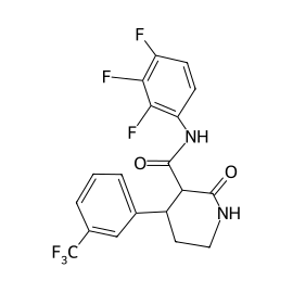 O=C1NCCC(c2cccc(C(F)(F)F)c2)C1C(=O)Nc1ccc(F)c(F)c1F